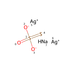 O=S([O-])([O-])=S.[Ag+].[Ag+].[NaH]